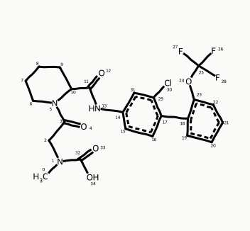 CN(CC(=O)N1CCCCC1C(=O)Nc1ccc(-c2ccccc2OC(F)(F)F)c(Cl)c1)C(=O)O